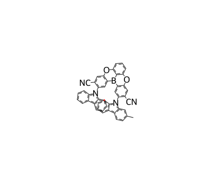 Cc1ccc2c3ccccc3n(-c3cc4c(cc3C#N)Oc3cccc5c3B4c3cc(-n4c6ccccc6c6ccccc64)c(C#N)cc3O5)c2c1